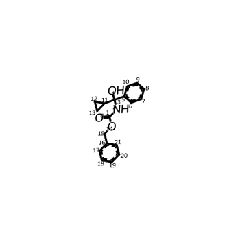 O=C(NC(O)(c1ccccc1)C1CC1)OCc1ccccc1